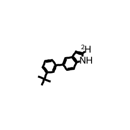 [2H]c1cc2cc(-c3cccc(C(C)(C)C)c3)ccc2[nH]1